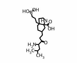 CC(C)CC(N)C(=O)CCC1CCC2(CCCB(O)O)CCNC2(C(=O)O)C1